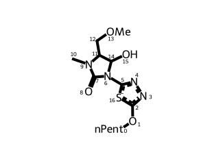 CCCCCOc1nnc(N2C(=O)N(C)C(COC)C2O)s1